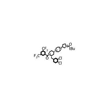 CC(C)(C)C(=O)N1CC[C@H](N2CCN([C@H]3CCN(C(=O)c4cc(C(F)(F)F)cc(C(F)(F)F)c4)[C@H](Cc4ccc(Cl)c(Cl)c4)C3)CC2)C1